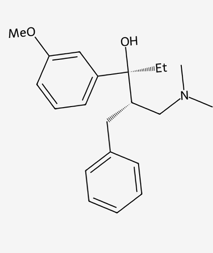 CC[C@@](O)(c1cccc(OC)c1)[C@@H](Cc1ccccc1)CN(C)C